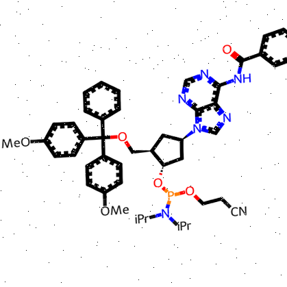 COc1ccc(C(OC[C@H]2C[C@@H](n3cnc4c(NC(=O)c5ccccc5)ncnc43)C[C@@H]2OP(OCCC#N)N(C(C)C)C(C)C)(c2ccccc2)c2ccc(OC)cc2)cc1